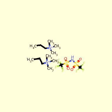 CCC[N+](C)(C)C.CCC[N+](C)(C)C.O=S(=O)(NS(=O)(=O)C(F)(F)F)C(F)(F)F